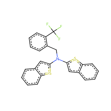 FC(F)(F)c1ccccc1CN(c1cc2ccccc2s1)c1cc2ccccc2s1